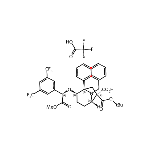 COC(=O)[C@H](O[C@@H]1CC[C@@H]2N(Cc3ccccc3)[C@@]1(c1ccccc1)C[C@@]2(C(=O)O)C(=O)OC(C)(C)C)c1cc(C(F)(F)F)cc(C(F)(F)F)c1.O=C(O)C(F)(F)F